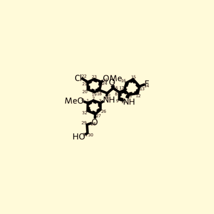 COc1cc(NC(C(=O)c2c[nH]c3cc(F)ccc23)c2ccc(Cl)cc2OC)cc(OCCO)c1